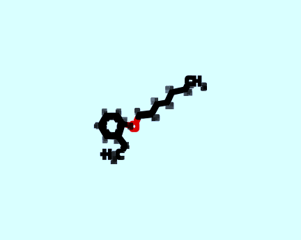 [CH2]Cc1ccccc1OC=CCCCCC